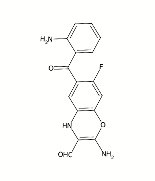 NC1=C(C=O)Nc2cc(C(=O)c3ccccc3N)c(F)cc2O1